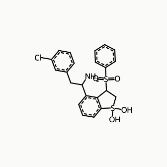 NC(Cc1cccc(Cl)c1)c1cccc2c1C(S(=O)(=O)c1ccccc1)CS2(O)O